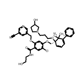 CC1(C)C(c2ccccc2)=CC=C[C@@]1(COc1cc(OCc2cncc(C#N)c2)c(C(=O)NCCO)cc1Cl)OCCCN1CCC(O)C1